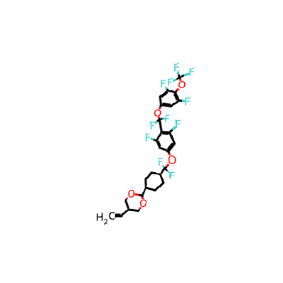 C=CC1COC(C2CCC(C(F)(F)Oc3cc(F)c(C(F)(F)Oc4cc(F)c(OC(F)(F)F)c(F)c4)c(F)c3)CC2)OC1